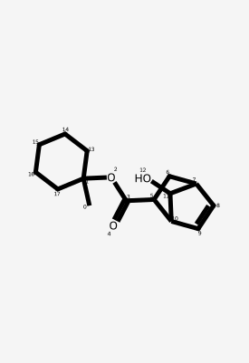 CC1(OC(=O)C2CC3C=CC2C3O)CCCCC1